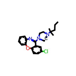 CCCC(C)(C)N1CCN(C2=Nc3ccccc3Oc3ccc(Cl)cc32)CC1